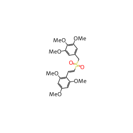 COc1cc(OC)c(C=CS(=O)(=O)Cc2cc(OC)c(OC)c(OC)c2)c(OC)c1